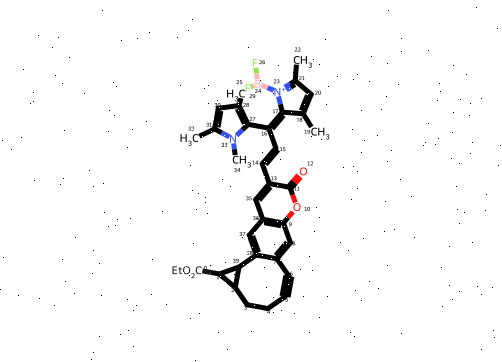 CCOC(=O)C1C2CCC#Cc3cc4oc(=O)c(/C=C/C(=C5\C(C)=CC(C)=[N+]5B(F)F)c5c(C)cc(C)n5C)cc4cc3C21